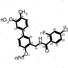 CCCOc1ccc(-c2ccc(C)c(C(=O)O)c2)cc1CNC(=O)c1ccc(Cl)cc1F